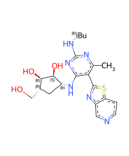 CC[C@@H](C)Nc1nc(C)c(-c2nc3cnccc3s2)c(N[C@@H]2C[C@H](CO)[C@@H](O)[C@H]2O)n1